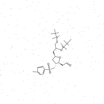 Cc1ccc(S(=O)(=O)C[C@@H]2C[C@@H](CC(CO[Si](C)(C)C(C)(C)C)O[Si](C)(C)C(C)(C)C)O[C@H]2CC=O)cc1